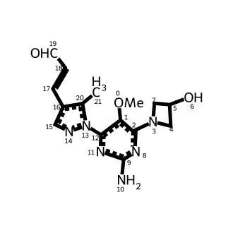 COc1c(N2CC(O)C2)nc(N)nc1-n1ncc(C=CC=O)c1C